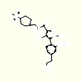 CCn1nc(C(=O)NCC2(O)CCC(S(C)(=O)=O)CC2)c(Cl)c1-c1ccc(CCC(F)(F)F)cc1OC